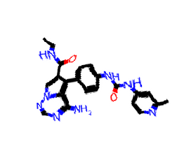 CCNC(=O)c1cn2ncnc(N)c2c1-c1ccc(NC(=O)Nc2ccnc(C)c2)cc1